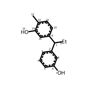 CCC(c1cccc(O)c1)c1ccc(C)c(O)c1